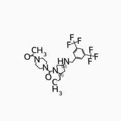 CC[C@@H]1C[C@H](NCc2cc(C(F)(F)F)cc(C(F)(F)F)c2)CN1C(=O)N1CCN(C(C)=O)CC1